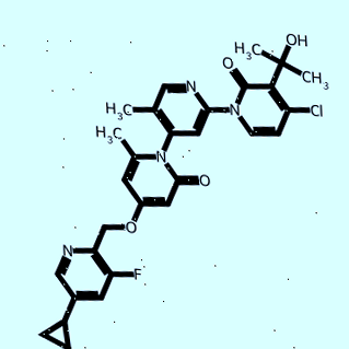 Cc1cnc(-n2ccc(Cl)c(C(C)(C)O)c2=O)cc1-n1c(C)cc(OCc2ncc(C3CC3)cc2F)cc1=O